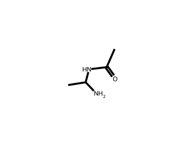 CC(=O)NC(C)N